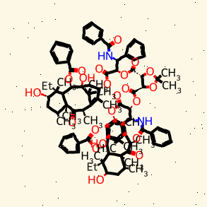 CC[C@@]1(C)C2[C@H](OC(=O)c3ccccc3)[C@]3(O)C[C@H](OC(=O)[C@H](OC(=O)[C@@H]4OC(C)(C)O[C@H]4C(=O)O[C@@H](C(=O)O[C@H]4C[C@@]5(O)[C@@H](OC(=O)c6ccccc6)C6[C@](C)(CC)[C@H](O)C[C@H](C)[C@@]6(C)C(=O)[C@H](C)C(=C4C)C5(C)C)[C@@H](NC(=O)c4ccccc4)c4ccccc4)[C@@H](NC(=O)c4ccccc4)c4ccccc4)C(C)=C([C@@H](C)C(=O)[C@]2(C)[C@@H](C)C[C@H]1O)C3(C)C